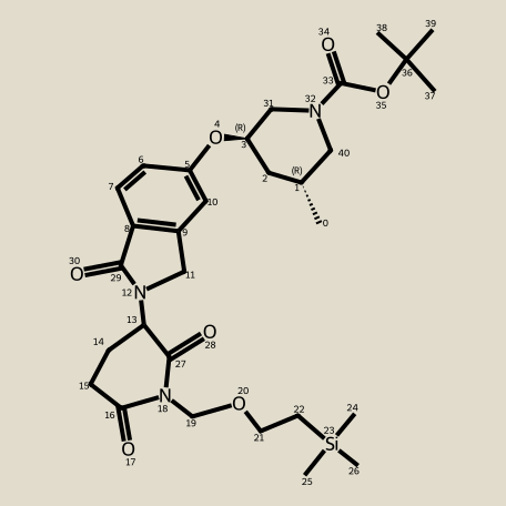 C[C@@H]1C[C@@H](Oc2ccc3c(c2)CN(C2CCC(=O)N(COCC[Si](C)(C)C)C2=O)C3=O)CN(C(=O)OC(C)(C)C)C1